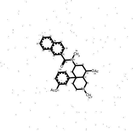 CC(=O)Oc1cccc(C23CCN(C)CC2C(OC(C)=O)CC(N(C)C(=O)c2ccc4ccccc4c2)C3)c1